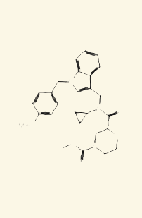 COc1ccc(Cn2cc(CN(C(=O)C3CN(C(=O)OC(C)(C)C)CCO3)C3CC3)c3ccccc32)cc1